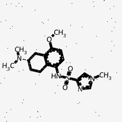 COc1ccc(NS(=O)(=O)c2cn(C)cn2)c2c1C[C@@H](N(C)C)CC2